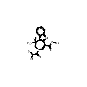 CCC(CC)C(=O)N1C=C(C(=O)OC(C)C)c2[nH]c3ccccc3c2C(C)(C)C1